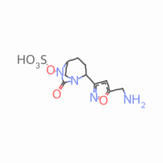 NCc1cc(C2CCC3CN2C(=O)N3OS(=O)(=O)O)no1